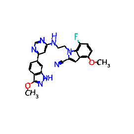 COc1n[nH]c2cc(-c3cc(NCCn4c(C#N)cc5c(OC)ccc(F)c54)ncn3)ccc12